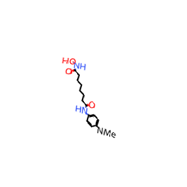 CNc1ccc(NC(=O)CCCCCCC(=O)NO)cc1